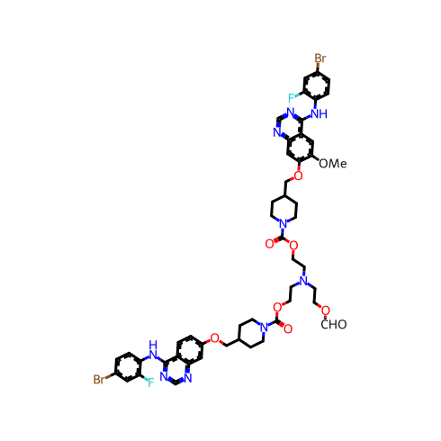 COc1cc2c(Nc3ccc(Br)cc3F)ncnc2cc1OCC1CCN(C(=O)OCCN(CCOC=O)CCOC(=O)N2CCC(COc3ccc4c(Nc5ccc(Br)cc5F)ncnc4c3)CC2)CC1